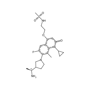 Cc1c(N2CCC([C@H](C)N)C2)c(F)cc2c(OCCNS(C)(=O)=O)cc(=O)n(C3CC3)c12